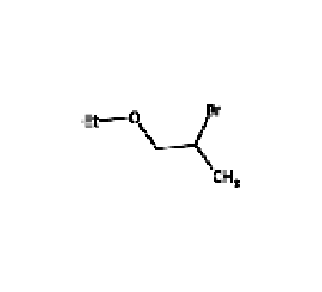 C[CH]OCC(C)Br